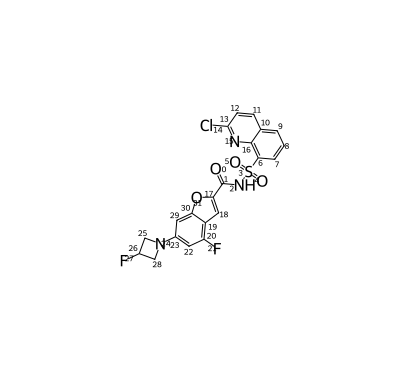 O=C(NS(=O)(=O)c1cccc2ccc(Cl)nc12)c1cc2c(F)cc(N3CC(F)C3)cc2o1